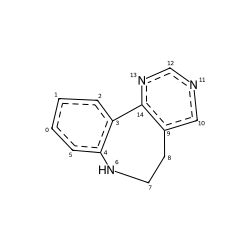 c1ccc2c(c1)NCCc1cncnc1-2